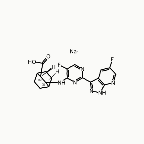 O=C(O)[C@H]1C2CCC(CC2)[C@@H]1Nc1nc(-c2n[nH]c3ncc(F)cc23)ncc1F.[Na]